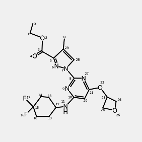 CCOC(=O)c1nn(-c2nc(NC3CCC(F)(F)CC3)cc(OC3COC3)n2)cc1C